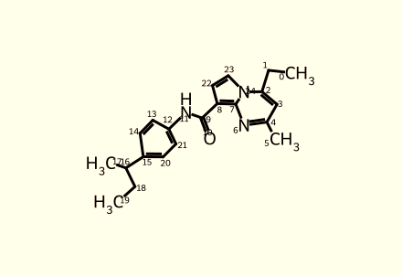 CCc1cc(C)nc2c(C(=O)Nc3ccc(C(C)CC)cc3)ccn12